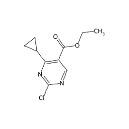 CCOC(=O)c1cnc(Cl)nc1C1CC1